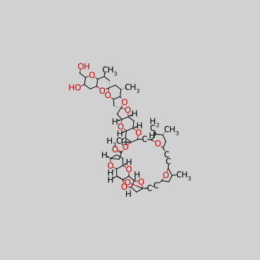 C=C1[C@H](C)CC2CCC3OC(CC[C@@]45C[C@H]6OC7C(O[C@H]8CC[C@H](CC(=O)O[C@H]9C(C[C@H]1O2)O[C@H]1C[C@H]2O[C@@]%10(CC%11O[C@]%12(C[C@H](C)C%13OC(CO)C(O)CC%13O%12)C[C@H](C)C%11O%10)C[C@H]2O[C@H]1[C@@H]9C)O[C@@H]8[C@@H]7O4)[C@@H]6O5)CC3C